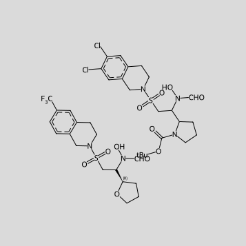 CC(C)(C)OC(=O)N1CCCC1C(CS(=O)(=O)N1CCc2cc(Cl)c(Cl)cc2C1)N(O)C=O.O=CN(O)C(CS(=O)(=O)N1CCc2cc(C(F)(F)F)ccc2C1)[C@H]1CCCO1